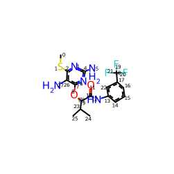 CSc1nc(N)nc(O[C@@H](C(=O)Nc2cccc(C(F)(F)F)c2)C(C)C)c1N